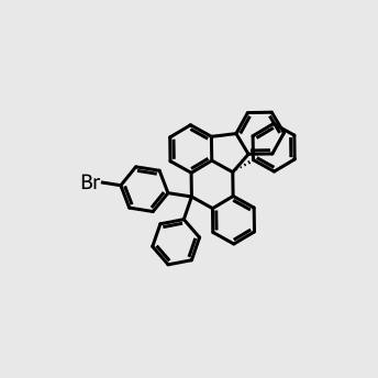 Brc1ccc(C2(c3ccccc3)c3ccccc3[C@]3(c4ccccc4)c4ccccc4-c4cccc2c43)cc1